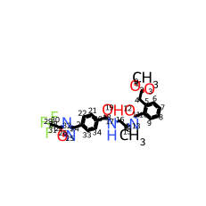 COC(=O)Cc1ccccc1C(O)N=C(C)CNC(=O)c1ccc(-c2noc(C(F)(F)F)n2)cc1